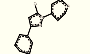 Clc1cc(-c2ccccc2)nn1-c1ccncc1